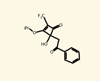 CC(C)OC1=C(C(F)(F)F)C(=O)C1(O)CC(=O)c1ccccc1